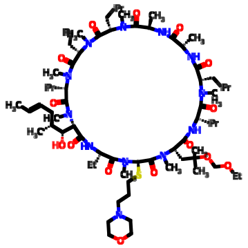 C/C=C/C[C@@H](C)[C@@H](O)[C@H]1C(=O)N[C@@H](CC)C(=O)N(C)[C@H](SCCCN2CCOCC2)C(=O)N(C)[C@@H](CC(C)(C)OCOCC)C(=O)N[C@@H](C(C)C)C(=O)N(C)[C@@H](CC(C)C)C(=O)N[C@@H](C)C(=O)N[C@H](C)C(=O)N(C)[C@@H](CC(C)C)C(=O)N(C)[C@@H](CC(C)C)C(=O)N(C)[C@@H](C(C)C)C(=O)N1C